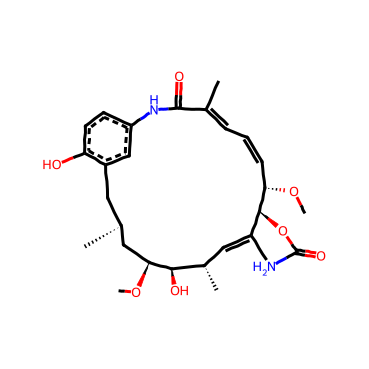 CO[C@H]1/C=C\C=C(/C)C(=O)Nc2ccc(O)c(c2)C[C@@H](C)C[C@H](OC)[C@H](O)[C@@H](C)/C=C(\C)[C@@H]1OC(N)=O